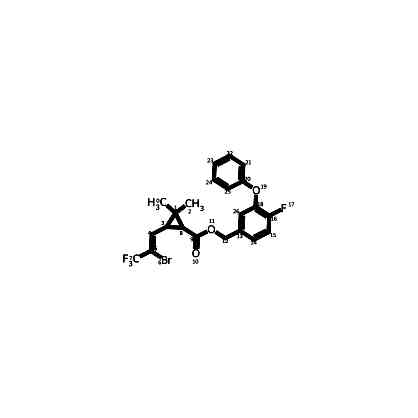 CC1(C)C(C=C(Br)C(F)(F)F)C1C(=O)OCc1ccc(F)c(Oc2ccccc2)c1